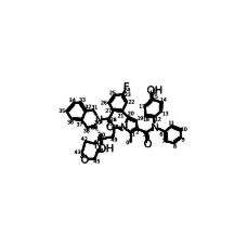 Cc1c(C(=O)N(c2ccccc2)c2ccc(O)cc2)cc(-c2cc(F)ccc2C(=O)N2Cc3ccccc3C[C@H]2CN2CCOCC2)n1CCCO